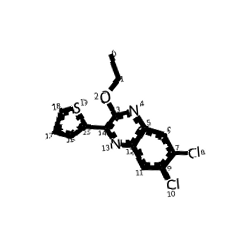 CCOc1nc2cc(Cl)c(Cl)cc2nc1-c1cccs1